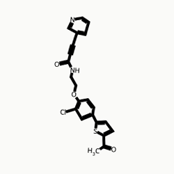 CC(=O)c1ccc(-c2ccc(OCCNC(=O)C#Cc3cccnc3)c(Cl)c2)s1